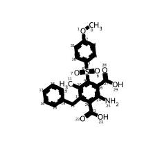 COc1ccc(S(=O)(=O)c2c(C)c(Cc3ccccc3)c(C(=O)O)c(N)c2C(=O)O)cc1